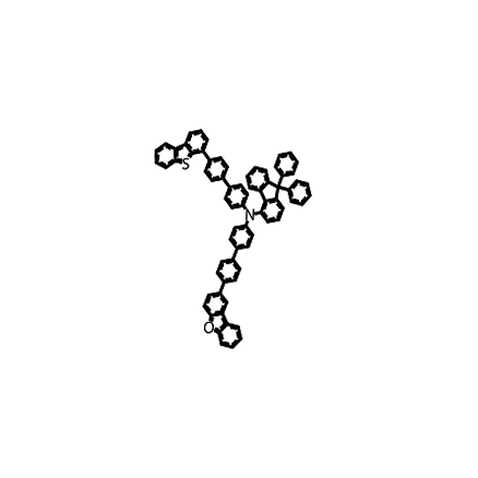 c1ccc(C2(c3ccccc3)c3ccccc3-c3c(N(c4ccc(-c5ccc(-c6ccc7oc8ccccc8c7c6)cc5)cc4)c4ccc(-c5ccc(-c6cccc7c6sc6ccccc67)cc5)cc4)cccc32)cc1